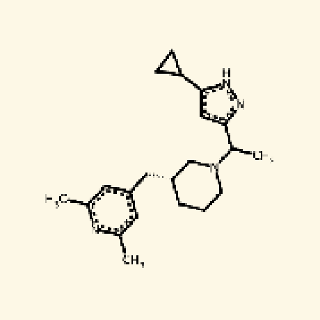 Cc1cc(C[C@H]2CCCN(C(C)c3cc(C4CC4)[nH]n3)C2)cc(C)n1